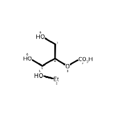 CCO.O=C(O)OC(CO)CO